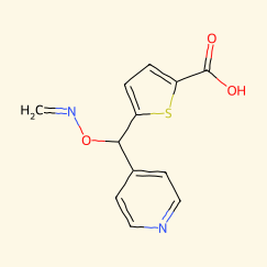 C=NOC(c1ccncc1)c1ccc(C(=O)O)s1